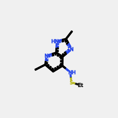 CCSNc1cc(C)nc2[nH]c(C)nc12